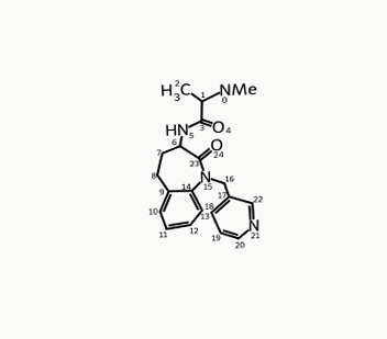 CNC(C)C(=O)NC1CCc2ccccc2N(Cc2cccnc2)C1=O